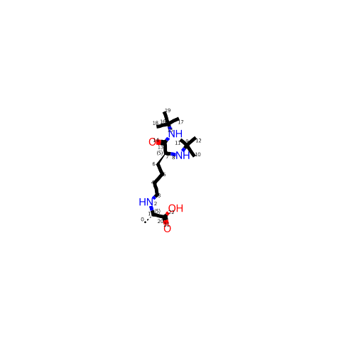 C[C@H](NCCCC[C@H](NC(C)(C)C)C(=O)NC(C)(C)C)C(=O)O